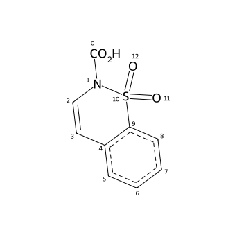 O=C(O)N1C=Cc2ccccc2S1(=O)=O